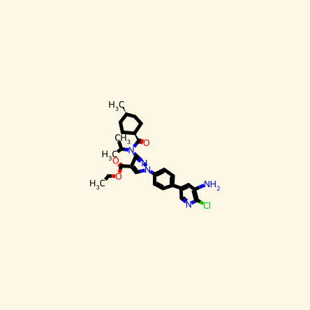 CCOC(=O)c1cn(-c2ccc(-c3cnc(Cl)c(N)c3)cc2)nc1N(C(=O)[C@H]1CC[C@H](C)CC1)C(C)C